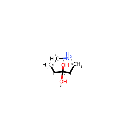 CCC(O)(O)CC.CN